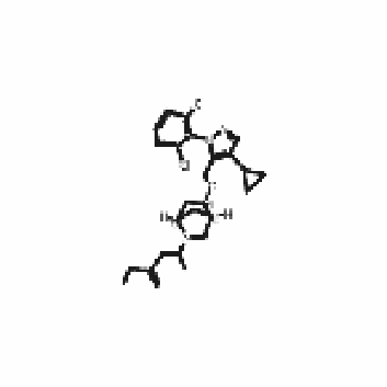 C=C(CC)CC(C)N1C[C@@H]2C[C@H]1C[C@H]2OCc1c(C2CC2)cnn1-c1c(Cl)cccc1Cl